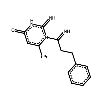 CCCc1cc(=O)[nH]c(=N)n1C(=N)CCc1ccccc1